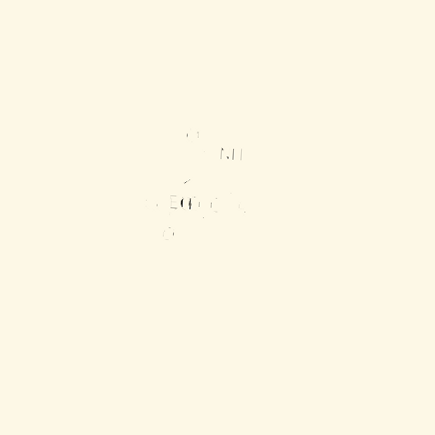 CCOC(=O)C(C)(Sc1ccccc1)[C@H]1NC(=O)[C@@H]1C(C)OC(=O)OCc1ccccc1